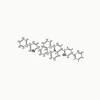 c1ccc(-c2ccc(-c3ccc4c5cccc6c(-c7ccc(-c8ccccc8)cn7)ccc(c7cccc3c74)c65)nc2)cc1